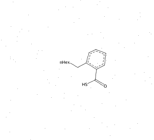 CCCCCCCc1ccccc1C(=O)S